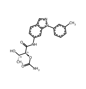 Cc1cccc(-n2ncc3ccc(NC(=O)[C@@H](OC(N)=O)[C@H](C)O)cc32)c1